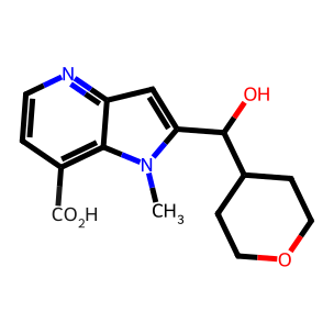 Cn1c(C(O)C2CCOCC2)cc2nccc(C(=O)O)c21